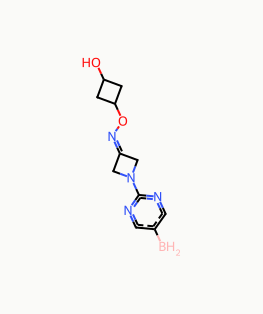 Bc1cnc(N2CC(=NOC3CC(O)C3)C2)nc1